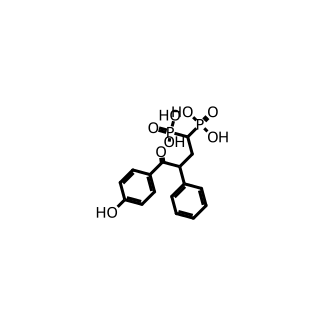 O=C(c1ccc(O)cc1)C(CC(P(=O)(O)O)P(=O)(O)O)c1ccccc1